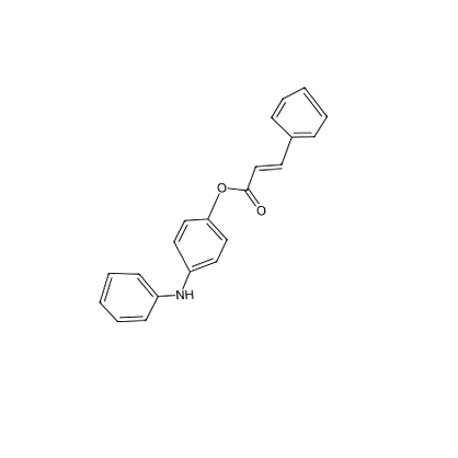 O=C(C=Cc1ccccc1)Oc1ccc(Nc2ccccc2)cc1